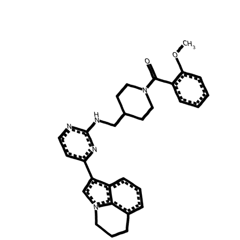 COc1ccccc1C(=O)N1CCC(CNc2nccc(-c3cn4c5c(cccc35)CCC4)n2)CC1